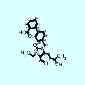 CCn1c(C=O)c(CCC(C)C)n(Cc2ccc(-c3ccccc3C(=O)O)cc2)c1=O